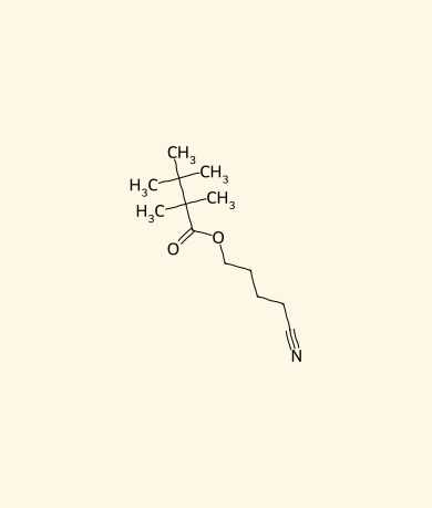 CC(C)(C)C(C)(C)C(=O)OCCCCC#N